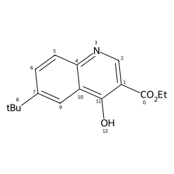 CCOC(=O)c1cnc2ccc(C(C)(C)C)cc2c1O